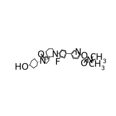 CN(C)C(=O)Oc1ccc(-c2ccc(N3CCC[C@]4(CCN([C@H]5CC[C@@H](O)CC5)C4=O)C3)c(F)c2)cn1